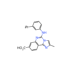 Cc1cn2c(Nc3cccc(C(C)C)c3)nc3cc(C(=O)O)ccc3c2n1